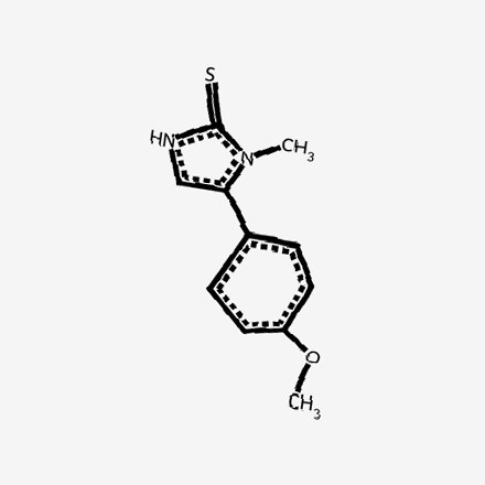 COc1ccc(-c2c[nH]c(=S)n2C)cc1